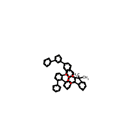 CC1(C)c2ccccc2-c2ccc(N(c3cccc(-c4cccc(-c5ccccc5)c4)c3)c3cccc(-c4ccccc4)c3-c3ccccc3-c3ccccc3)cc21